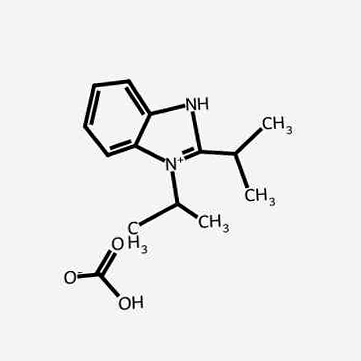 CC(C)c1[nH]c2ccccc2[n+]1C(C)C.O=C([O-])O